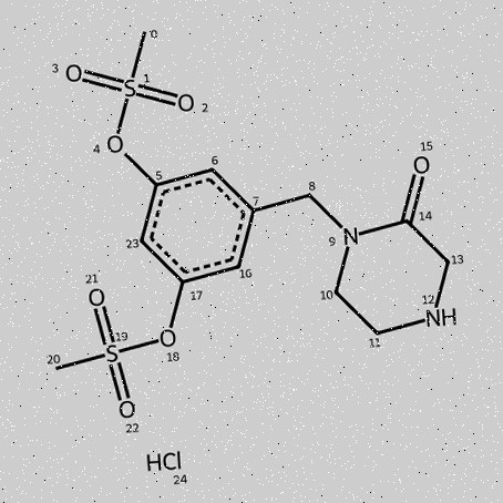 CS(=O)(=O)Oc1cc(CN2CCNCC2=O)cc(OS(C)(=O)=O)c1.Cl